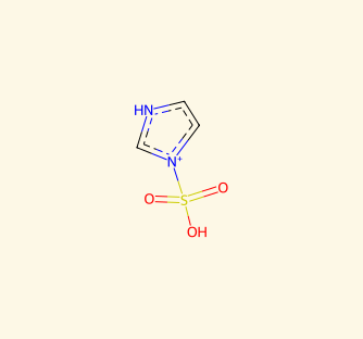 O=S(=O)(O)[n+]1cc[nH]c1